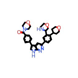 O=C(c1ccc(-c2c[nH]c3nnc(-c4ccc(C5CCOCC5)c(C5COCCN5)c4)cc23)cc1)N1CCOCC1